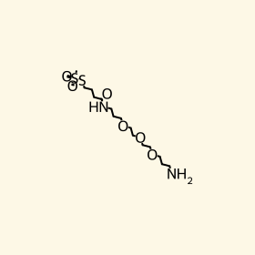 CS(=O)(=O)SCCCC(=O)NCCCOCCOCCOCCCN